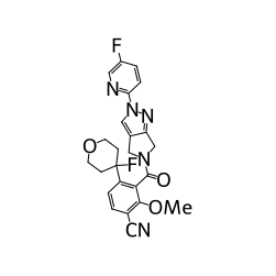 COc1c(C#N)ccc(C2(F)CCOCC2)c1C(=O)N1Cc2cn(-c3ccc(F)cn3)nc2C1